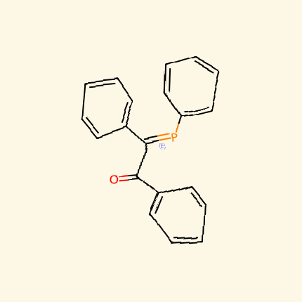 O=C(/C(=P/c1ccccc1)c1ccccc1)c1ccccc1